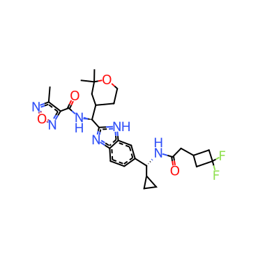 Cc1nonc1C(=O)N[C@H](c1nc2ccc([C@H](NC(=O)CC3CC(F)(F)C3)C3CC3)cc2[nH]1)C1CCOC(C)(C)C1